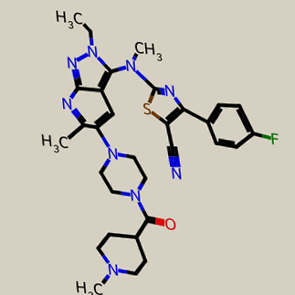 CCn1nc2nc(C)c(N3CCN(C(=O)C4CCN(C)CC4)CC3)cc2c1N(C)c1nc(-c2ccc(F)cc2)c(C#N)s1